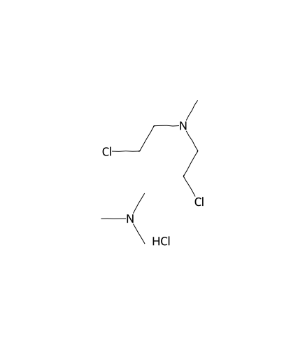 CN(C)C.CN(CCCl)CCCl.Cl